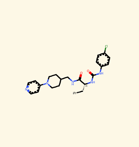 CC(C)C[C@@H](NC(=O)Nc1ccc(Cl)cc1)C(=O)NCC1CCN(c2ccncc2)CC1